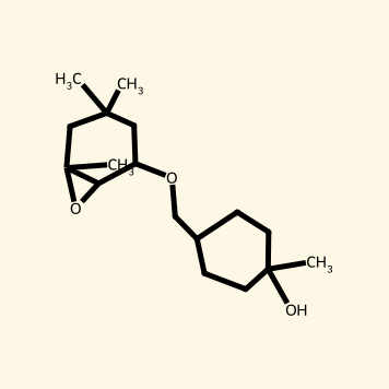 CC1(C)CC(OCC2CCC(C)(O)CC2)C2OC2(C)C1